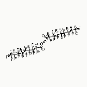 O=C(OOC(=O)C(F)(F)C(F)(F)C(F)(F)C(F)(F)C(F)(F)C(F)(F)C(F)(F)C(F)(F)Cl)C(F)(F)C(F)(F)C(F)(F)C(F)(F)C(F)(F)C(F)(F)C(F)(F)C(F)(F)Cl